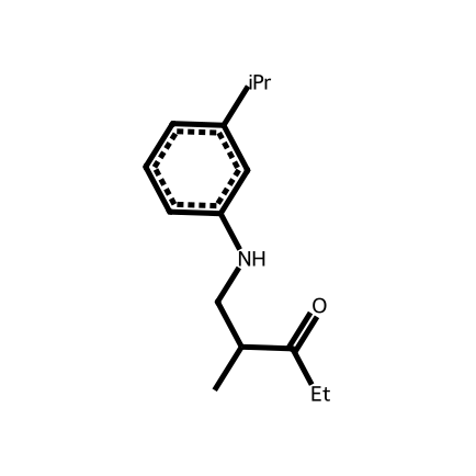 CCC(=O)C(C)CNc1cccc(C(C)C)c1